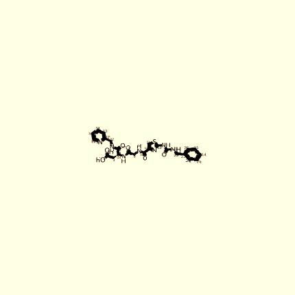 O=C(O)C[C@H](NC(=O)CNC(=O)c1csc(NC(=O)NCc2ccccc2)n1)C(=O)NCc1ccccn1